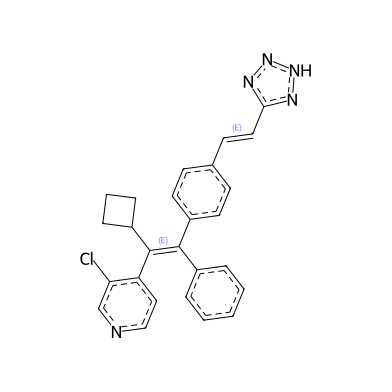 Clc1cnccc1/C(=C(\c1ccccc1)c1ccc(/C=C/c2nn[nH]n2)cc1)C1CCC1